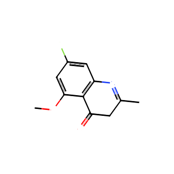 COc1cc(F)cc2c1C(=O)CC(C)=N2